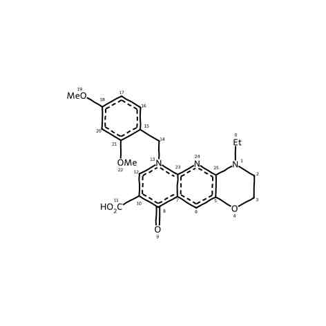 CCN1CCOc2cc3c(=O)c(C(=O)O)cn(Cc4ccc(OC)cc4OC)c3nc21